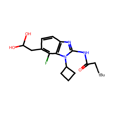 CC(C)(C)CC(=O)Nc1nc2ccc(CC(O)O)c(F)c2n1C1CCC1